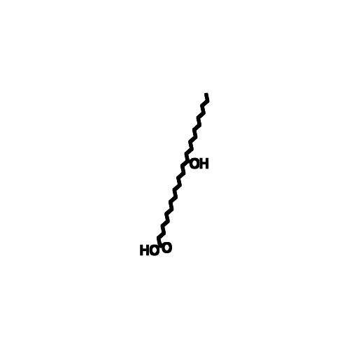 CCCCCCCCCCCC(O)CCCCCCCCCCCCCC(=O)O